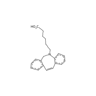 O=C(O)CCCCCN1Cc2ccccc2/C=C\c2ccccc21